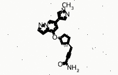 Cn1cc(-c2cc(O[C@@H]3CC[C@@H](CC#CC(N)=O)C3)c3ccnn3c2)cn1